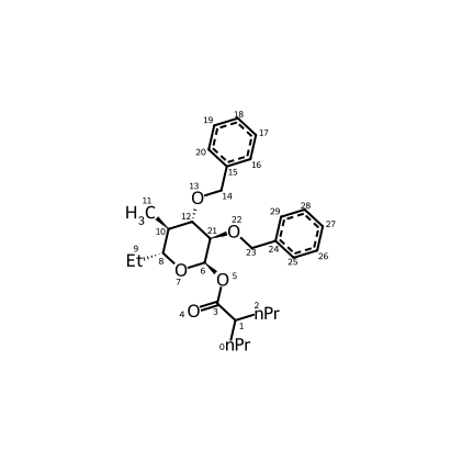 CCCC(CCC)C(=O)O[C@H]1O[C@H](CC)[C@@H](C)[C@H](OCc2ccccc2)[C@H]1OCc1ccccc1